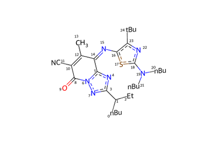 CCCCC(CC)c1nc2n(n1)C(=O)C(C#N)=C(C)/C2=N/c1sc(N(CCCC)CCCC)nc1C(C)(C)C